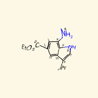 CCOC(=O)c1cc(N)c2[nH]cc(C(C)C)c2c1